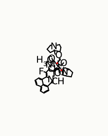 C#Cc1cccc2cccc(-c3ncc4c(N5CC6CCC(C5)N6C(=O)[C@H]5OC(=O)[C@H]5C(C)C)nc(OCC56CCCN5CCC6)nc4c3F)c12